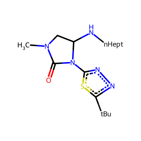 CCCCCCCNC1CN(C)C(=O)N1c1nnc(C(C)(C)C)s1